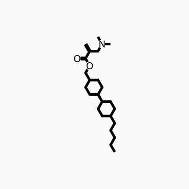 C=C(CN(C)C)C(=O)OCC1CCC(C2CCC(CCCCC)CC2)CC1